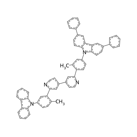 Cc1cc(-n2c3ccc(-c4ccccc4)cc3c3cc(-c4ccccc4)ccc32)ccc1-c1cc(-c2ccnc(-c3cc(-n4c5ccccc5c5ccccc54)ccc3C)c2)ccn1